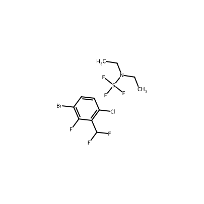 CCN(CC)S(F)(F)F.Fc1c(Br)ccc(Cl)c1C(F)F